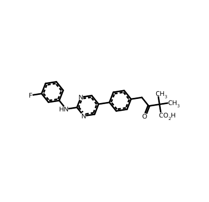 CC(C)(C(=O)O)C(=O)Cc1ccc(-c2cnc(Nc3cccc(F)c3)nc2)cc1